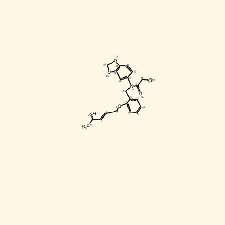 CC(S)/C=C/COc1ccccc1CN(C(=O)CCl)c1ccc2c(c1)OCO2